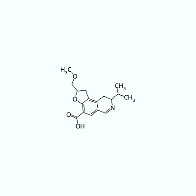 COCC1Cc2c3c(cc(C(=O)O)c2O1)C=NC(C(C)C)C3